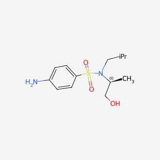 CC(C)CN([C@@H](C)CO)S(=O)(=O)c1ccc(N)cc1